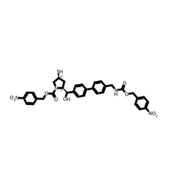 O=C(NCc1ccc(-c2ccc(C(O)[C@@H]3C[C@H](S)CN3C(=O)OCc3ccc([N+](=O)[O-])cc3)cc2)cc1)OCc1ccc([N+](=O)[O-])cc1